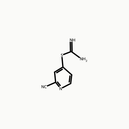 N#Cc1cc(SC(=N)N)ccn1